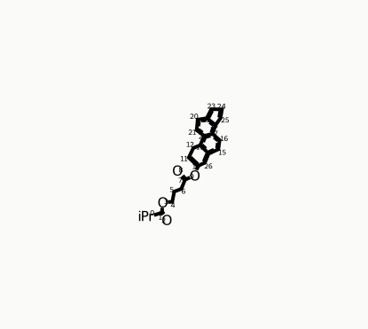 CC(C)C(=O)OCCCC(=O)OC1=CCc2c(ccc3c4c(ccc23)=CC=C4)=C1